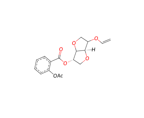 C=COC1COC2[C@@H]1OC[C@@H]2OC(=O)c1ccccc1OC(C)=O